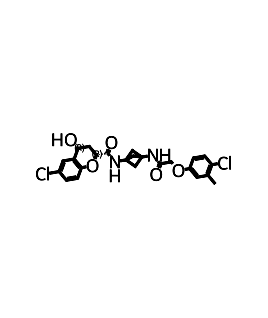 Cc1cc(OCC(=O)NC23CC(NC(=O)[C@H]4C[C@@H](O)c5cc(Cl)ccc5O4)(C2)C3)ccc1Cl